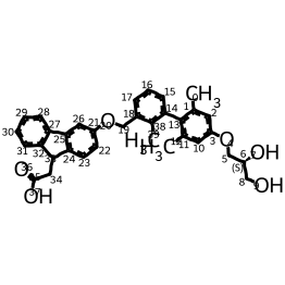 Cc1cc(OC[C@@H](O)CO)cc(C)c1-c1cccc(COc2ccc3c(c2)-c2ccccc2C3CC(=O)O)c1C